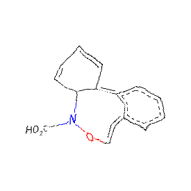 O=C(O)N1OC=c2ccccc2=C2C=CC=CC21